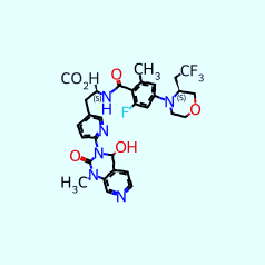 Cc1cc(N2CCOC[C@@H]2CC(F)(F)F)cc(F)c1C(=O)N[C@@H](Cc1ccc(N2C(=O)N(C)c3cnccc3C2O)nc1)C(=O)O